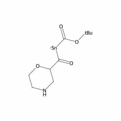 CC(C)(C)O[C](=O)[Sn][C](=O)C1CNCCO1